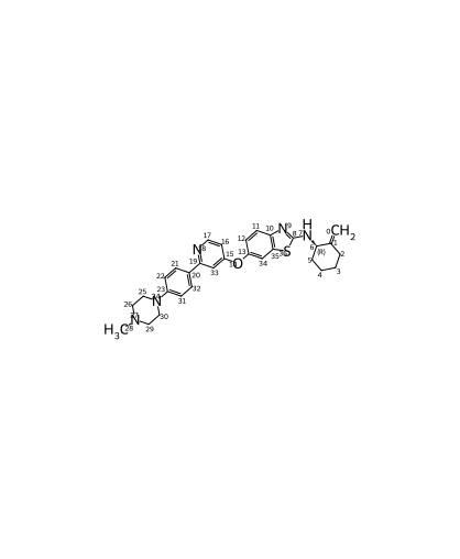 C=C1CCCC[C@H]1Nc1nc2ccc(Oc3ccnc(-c4ccc(N5CCN(C)CC5)cc4)c3)cc2s1